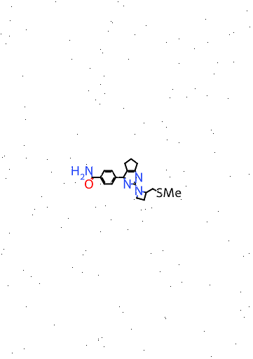 CSCC1CCN1c1nc2c(c(-c3ccc(C(N)=O)cc3)n1)CCC2